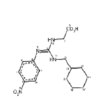 O=C(O)CNC(=Nc1ccc([N+](=O)[O-])cc1)NCC1CCCCC1